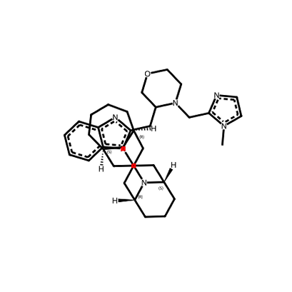 Cn1ccnc1CN1CCOCC1Cc1nc2ccccc2n1C1C[C@H]2CCC[C@@H](C1)N2C1C[C@H]2CCCC[C@@H](C1)C2